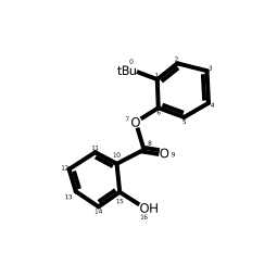 CC(C)(C)c1ccccc1OC(=O)c1ccccc1O